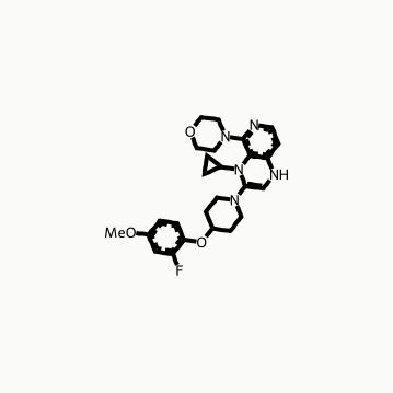 COc1ccc(OC2CCN(C3=CNc4ccnc(N5CCOCC5)c4N3C3CC3)CC2)c(F)c1